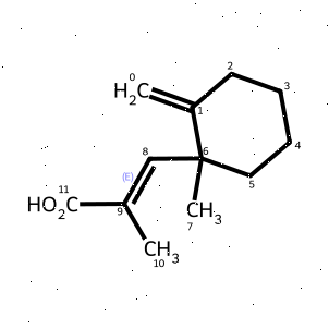 C=C1CCCCC1(C)/C=C(\C)C(=O)O